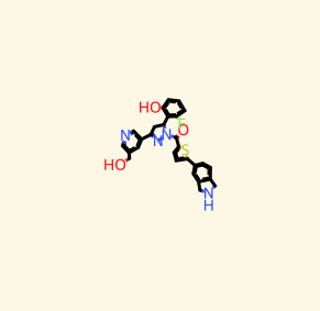 O=C(c1ccc(-c2ccc3c(c2)CNC3)s1)N1N=C(c2cncc(CO)c2)CC1c1c(O)cccc1F